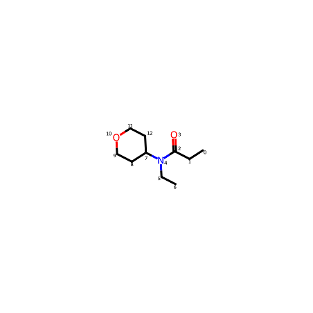 CCC(=O)N(CC)C1CCOCC1